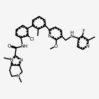 COc1nc(-c2cccc(-c3cccc(NC(=O)c4nc5c(n4C)CCN(C)C5)c3Cl)c2C)ccc1CNc1ccnc(C)c1F